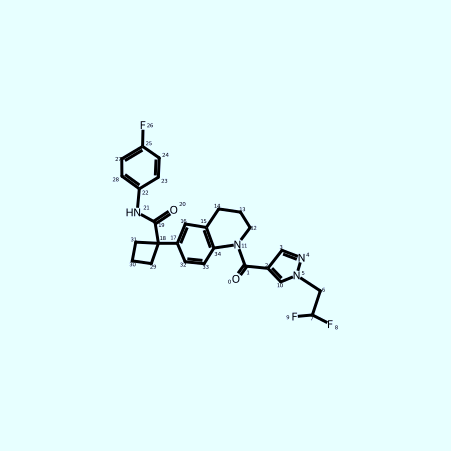 O=C(c1cnn(CC(F)F)c1)N1CCCc2cc(C3(C(=O)Nc4ccc(F)cc4)CCC3)ccc21